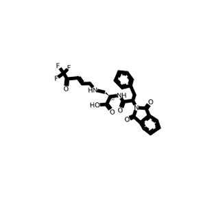 O=C(N[C@@H](CNCC=CC(=O)C(F)(F)F)C(=O)O)C(Cc1ccccc1)N1C(=O)c2ccccc2C1=O